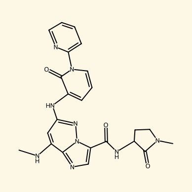 CNc1cc(Nc2cccn(-c3ccccn3)c2=O)nn2c(C(=O)NC3CCN(C)C3=O)cnc12